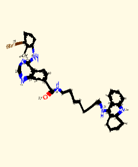 Cc1c(Br)cccc1Nc1ncnc2cc(C(=O)NCCCCCCNc3c4c(nc5ccccc35)CCCC4)ccc12